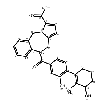 CC1=C(c2ccc(C(=O)N3Cc4ccc(C(=O)O)n4Cc4ccccc43)cc2C)CCCC1O